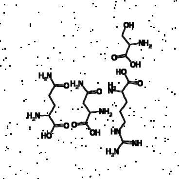 N=C(N)NCCCC(N)C(=O)O.NC(=O)CC(N)C(=O)O.NC(=O)CCC(N)C(=O)O.NC(CO)C(=O)O